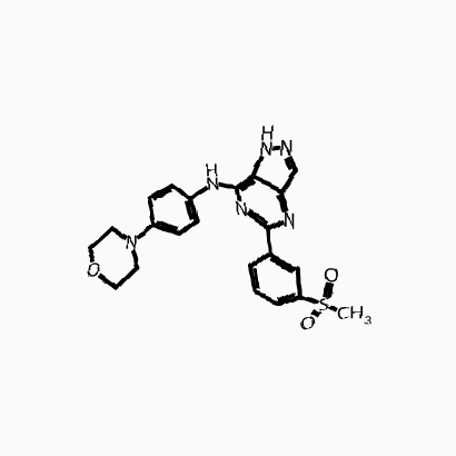 CS(=O)(=O)c1cccc(-c2nc(Nc3ccc(N4CCOCC4)cc3)c3[nH]ncc3n2)c1